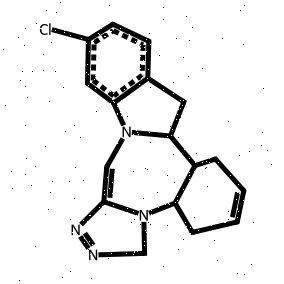 Clc1ccc2c(c1)N1C=C3N=NCN3C3CC=CCC3C1C2